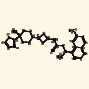 Cc1ccc2ncnc(N(C)CC(=O)NC3CN(C4CCC(O)(c5nccs5)CC4)C3)c2c1